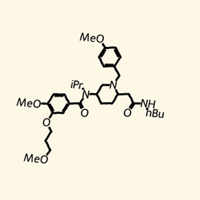 CCCCNC(=O)CC1CCC(N(C(=O)c2ccc(OC)c(OCCCOC)c2)C(C)C)CN1Cc1ccc(OC)cc1